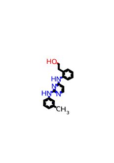 Cc1cccc(Nc2nccc(Nc3ccccc3CCO)n2)c1